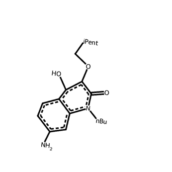 CCCCn1c(=O)c(OCC(C)CCC)c(O)c2ccc(N)cc21